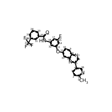 Cc1ccc(-c2cnc3ccc(Oc4cc(F)cc(NC(=O)c5cccc(C(F)(F)F)c5)c4)cc3n2)cn1